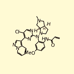 C=CC(=O)Nc1ccc(OC)cc1N(c1ncc(Cl)c(-c2cnn3ccccc23)n1)N1CC[C@@H]2CN(C)C[C@@H]21